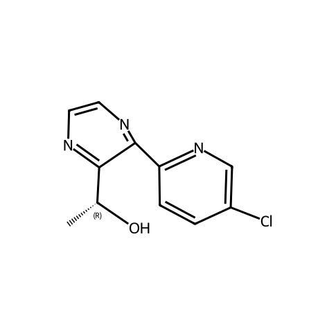 C[C@@H](O)c1nccnc1-c1ccc(Cl)cn1